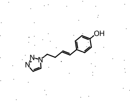 Oc1ccc(C=CCCn2ccnn2)cc1